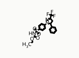 CCOC(=O)NS(=O)(=O)c1ccc(N2N=C(C(F)(F)F)CC2c2ccccc2)cc1